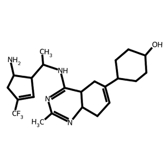 CC1=NC2CC=C(C3CCC(O)CC3)CC2C(NC(C)C2C=C(C(F)(F)F)CC2N)=N1